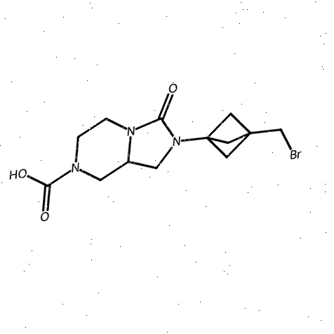 O=C(O)N1CCN2C(=O)N(C34CC(CBr)(C3)C4)CC2C1